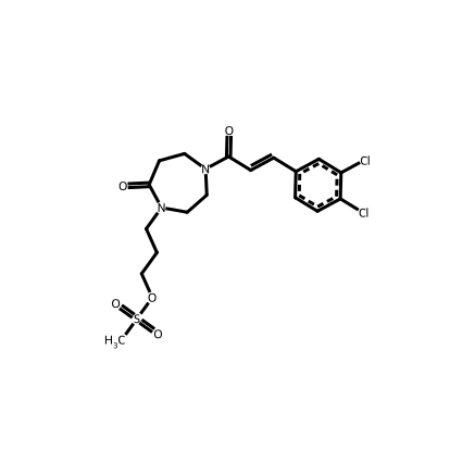 CS(=O)(=O)OCCCN1CCN(C(=O)/C=C/c2ccc(Cl)c(Cl)c2)CCC1=O